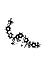 CN(c1ccc(Oc2ccc3cc(C(=O)N4CCN(Cc5ccc(OCC(F)(F)F)cc5)CC4)n(C)c3c2)nc1)S(=O)(=O)c1ccc(C(F)(F)F)cc1.Cl